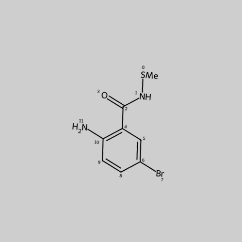 CSNC(=O)c1cc(Br)ccc1N